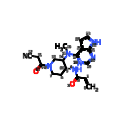 C=CC(=O)N[C@@H]1CCN(C(=O)CC#N)CC1N(C)c1ncnc2[nH]ccc12